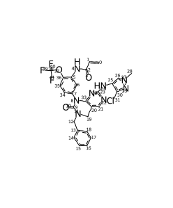 C=CC(=O)Nc1cc(N2C(=O)N(Cc3ccccc3)Cc3cnc(Nc4cn(C)nc4Cl)nc32)ccc1OC(F)(F)F